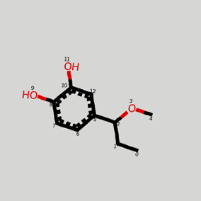 CCC(OC)c1ccc(O)c(O)c1